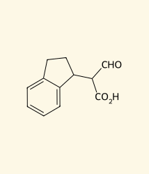 O=CC(C(=O)O)C1CCc2ccccc21